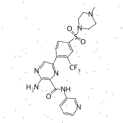 CN1CCN(S(=O)(=O)c2ccc(-c3cnc(N)c(C(=O)Nc4cccnc4)n3)c(C(F)(F)F)c2)CC1